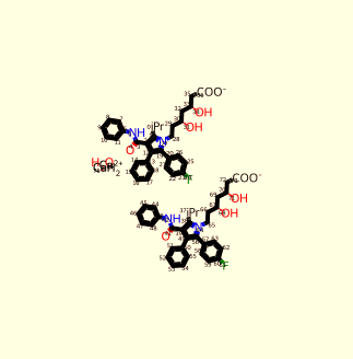 CC(C)c1c(C(=O)Nc2ccccc2)c(-c2ccccc2)c(-c2ccc(F)cc2)n1CC[C@@H](O)C[C@@H](O)CC(=O)[O-].CC(C)c1c(C(=O)Nc2ccccc2)c(-c2ccccc2)c(-c2ccc(F)cc2)n1CC[C@@H](O)C[C@@H](O)CC(=O)[O-].O.[Ca+2].[CaH2]